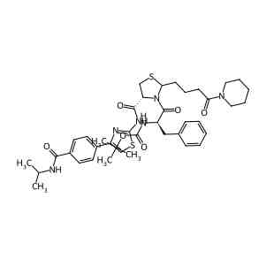 CC(C)NC(=O)c1ccc(-c2csc(NC(=O)[C@@H]3CSC(CCCC(=O)N4CCCCC4)N3C(=O)[C@@H](Cc3ccccc3)NC(=O)OC(C)(C)C)n2)cc1